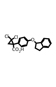 O=C(O)C1(c2ccc(OC3CCc4ccccc43)cc2)CC1(Cl)Cl